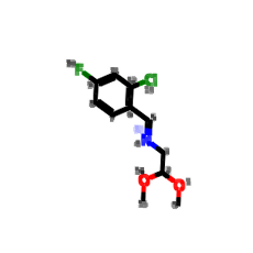 COC(C/N=C/c1ccc(F)cc1Cl)OC